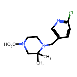 CC1(C)CN(C(=O)O)CCN1Cc1ccc(Cl)nc1